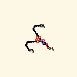 CCCCC/C=C\C/C=C\CCCCCCCC(=O)OCCN(CCOC(=O)CCCCCCC/C=C\C/C=C\CCCCC)C(=O)CN1CCC(OCCOC)CC1